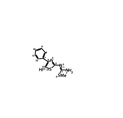 CS/C(N)=N\c1nc(-c2ccccc2)cs1.I